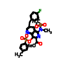 COC(=O)c1nc(N(C)S(C)(=O)=O)c2cc(Cc3ccc(F)cc3)cnc2c1OS(=O)(=O)c1ccc(C)cc1